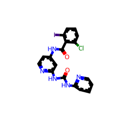 O=C(Nc1ccccn1)Nc1cc(NC(=O)c2c(Cl)cccc2I)ccn1